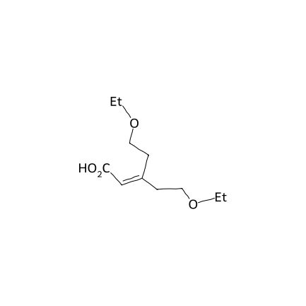 CCOCCC(=CC(=O)O)CCOCC